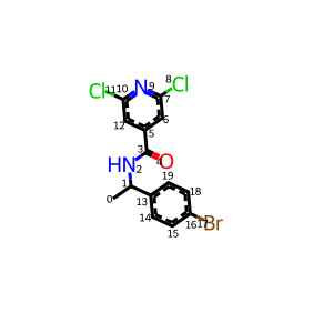 CC(NC(=O)c1cc(Cl)nc(Cl)c1)c1ccc(Br)cc1